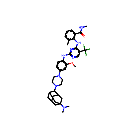 CNC(=O)c1cccc(C)c1Nc1nc(Nc2ccc(N3CCN(C4C5CC6CC4CC(N(C)C)(C6)C5)CC3)cc2OC)ncc1C(F)(F)F